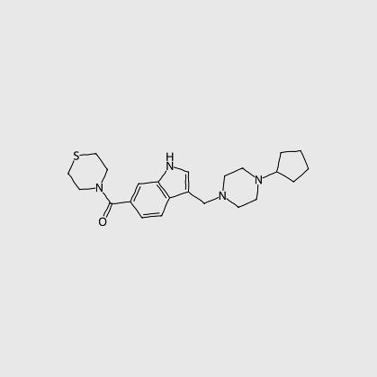 O=C(c1ccc2c(CN3CCN(C4CCCC4)CC3)c[nH]c2c1)N1CCSCC1